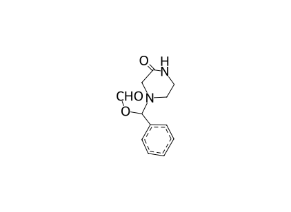 O=COC(c1ccccc1)N1CCNC(=O)C1